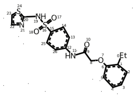 CCc1ccccc1OCC(=O)Nc1ccc(S(=O)(=O)Nc2nccs2)cc1